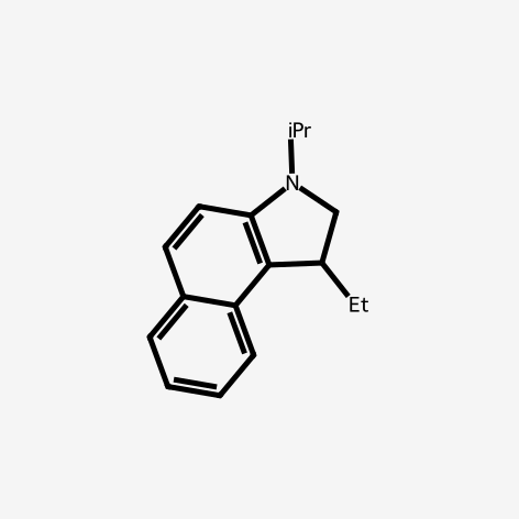 CCC1CN(C(C)C)c2ccc3ccccc3c21